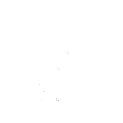 CCOC(=O)c1ncccc1CN1CCN(C(c2ccccc2)c2ccc(F)cc2)CC1